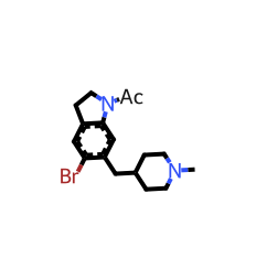 CC(=O)N1CCc2cc(Br)c(CC3CCN(C)CC3)cc21